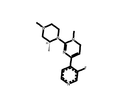 C[C@@H]1CN(C)CCN1C1=NC(c2ccncc2F)=CCN1C